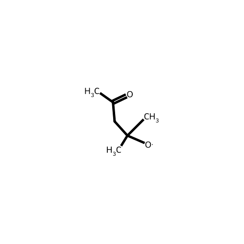 CC(=O)CC(C)(C)[O]